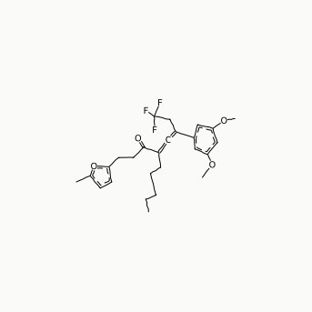 CCCCCC(=C=C(CC(F)(F)F)c1cc(OC)cc(OC)c1)C(=O)CCc1ccc(C)o1